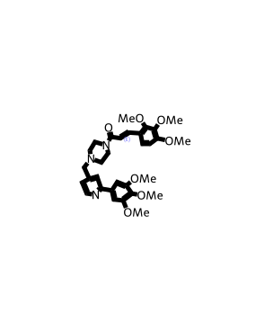 COc1cc(-c2cc(CN3CCN(C(=O)/C=C/c4ccc(OC)c(OC)c4OC)CC3)ccn2)cc(OC)c1OC